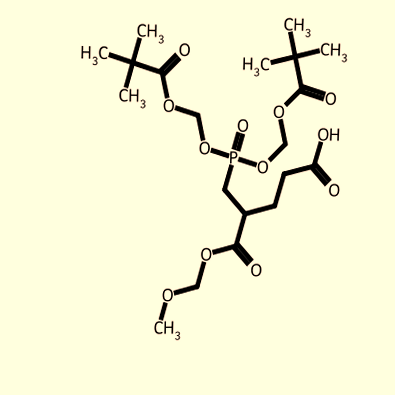 COCOC(=O)C(CCC(=O)O)CP(=O)(OCOC(=O)C(C)(C)C)OCOC(=O)C(C)(C)C